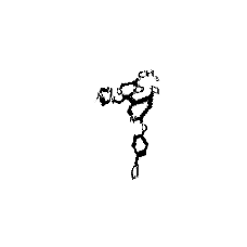 CC1COC(Cn2cncn2)(c2cnc(Oc3ccc(Cl)cc3)cc2Cl)O1